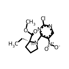 CC[C@@]1(C(=O)OC)CCCN1c1nc(Cl)ncc1[N+](=O)[O-]